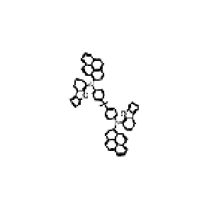 CC(C)(c1ccc(N(c2ccc3ccc4cccc5ccc2c3c45)c2cccc3c2oc2ccccc23)cc1)c1ccc(N(c2ccc3ccc4cccc5ccc2c3c45)c2cccc3c2oc2ccccc23)cc1